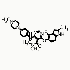 Cc1cc2c(F)c(Oc3ncnc(NC4=CC=C(N5CCN(C)CC5)CC4)c3C(=O)N(C)C)ccc2[nH]1